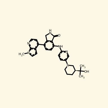 Cn1ccc2c(-c3ccc(Nc4ccc(N5CCC[C@H](C(C)(C)O)C5)cn4)c4c3CNC4=O)ccnc21